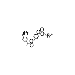 CC(C)Cc1ccc(C(C)C(=O)OCc2ccc(OC(=O)OCC[N+](C)(C)C)cc2)cc1